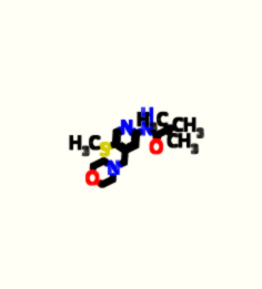 CSc1cnc(NC(=O)C(C)(C)C)cc1CN1CCOCC1